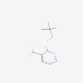 CC(C)(N)COc1ncccc1C(F)F